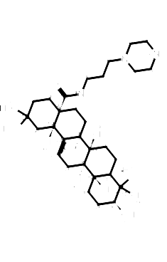 CC1(C)CC[C@]2(C(=O)NCCCN3CCNCC3)CC[C@]3(C)C(=CC[C@@H]4[C@@]5(C)CC[C@H](O)C(C)(C)[C@@H]5CC[C@]43C)[C@@H]2C1